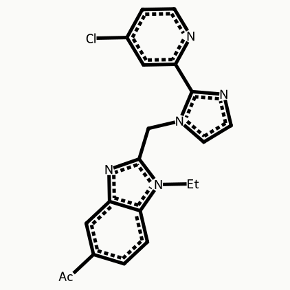 CCn1c(Cn2ccnc2-c2cc(Cl)ccn2)nc2cc(C(C)=O)ccc21